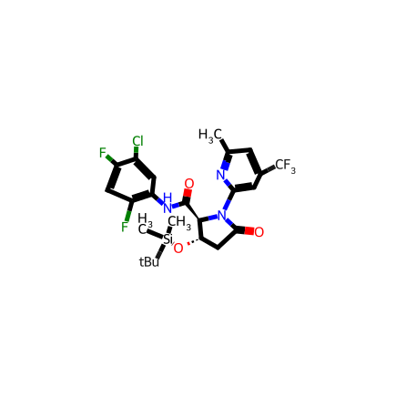 Cc1cc(C(F)(F)F)cc(N2C(=O)C[C@H](O[Si](C)(C)C(C)(C)C)[C@H]2C(=O)Nc2cc(Cl)c(F)cc2F)n1